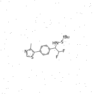 Cc1ncsc1-c1ccc(C(NSC(C)(C)C)C(F)F)cc1